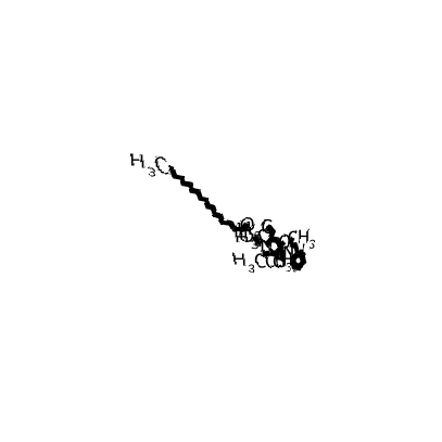 CCCCCCCCCCCCCCCCCC(=O)OCCN1C(C)(CC)CC2(OC(C)(Cc3ccccc3)NC2=O)C(C)C1(C)CC